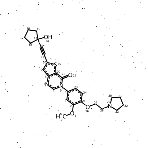 COc1cc(-n2cnc3cc(C#CC4(O)CCCC4)sc3c2=O)ccc1OCCN1CCCC1